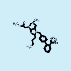 CCCCC1N=C2C(=CN(C)CN2CC(=O)OC)N1Cc1ccc(-c2ccccc2-c2nnn[nH]2)cc1